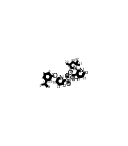 C=C(C)c1cccc(Oc2cccc(S(=O)(=O)NC(=O)c3cccnc3N3CC(C)CC3(C)C)n2)c1